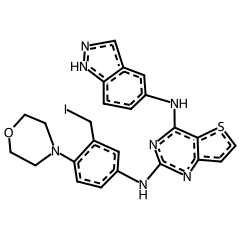 ICc1cc(Nc2nc(Nc3ccc4[nH]ncc4c3)c3sccc3n2)ccc1N1CCOCC1